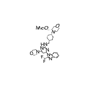 COC[C@@H]1COCCN1[C@H]1CC[C@H](CNc2nc(N3CCOCC3)cc(-n3c(C(F)F)nc4ccccc43)n2)CC1